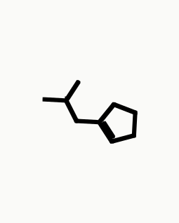 C[C](C)CC1=CCCC1